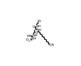 CC(C)CCNC(=O)[C@H](CCCNC(=N)N[N+](=O)[O-])NC(=O)CCCCCCCCCCC#N